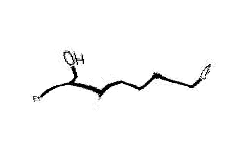 CCC(O)CCCCC[O]